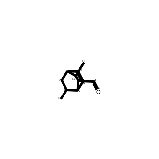 CC1CC2C=CC1C(C=O)C2C